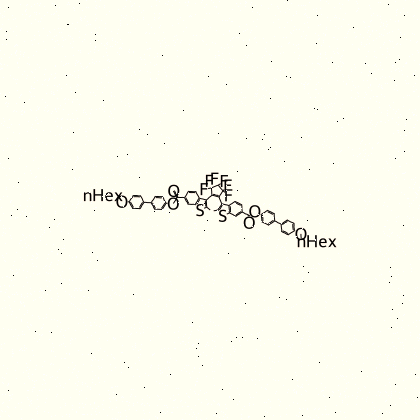 CCCCCCOc1ccc(-c2ccc(OC(=O)c3ccc4c(C5=C(c6c(C)sc7cc(C(=O)Oc8ccc(-c9ccc(OCCCCCC)cc9)cc8)ccc67)C(F)(F)C(F)(F)C5(F)F)c(C)sc4c3)cc2)cc1